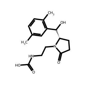 Cc1ccc(C)c(C(O)[C@@H]2CCC(=O)N2CCNC(=O)O)c1